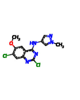 COc1cc2c(Nc3cnn(C)c3)nc(Cl)nc2cc1Cl